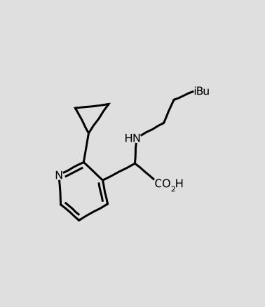 CCC(C)CCNC(C(=O)O)c1cccnc1C1CC1